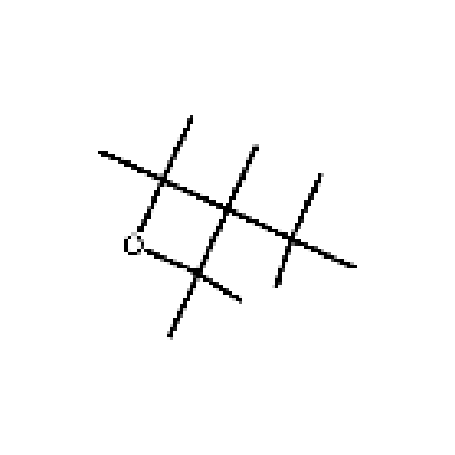 CC(C)(C)C1(C)C(C)(C)OC1(C)C